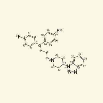 Fc1ccc(C(CCCN2CCC(n3nnc4ccccc43)CC2)c2ccc(F)cc2)cc1